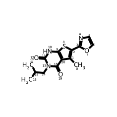 Cc1c(-c2ncco2)sc2[nH]c(=O)n(CC(C)C)c(=O)c12